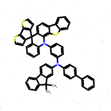 CC1(C)c2ccccc2-c2ccc(N(c3ccc(-c4ccccc4)cc3)c3cccc(N4c5ccccc5C5(c6ccsc6-c6sccc65)c5ccc6c(sc7ccccc76)c54)c3)cc21